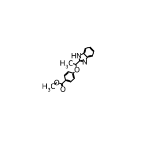 COC(=O)c1ccc(OC(C)c2nc3ccccc3[nH]2)cc1